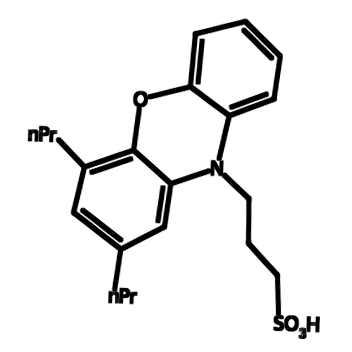 CCCc1cc(CCC)c2c(c1)N(CCCS(=O)(=O)O)c1ccccc1O2